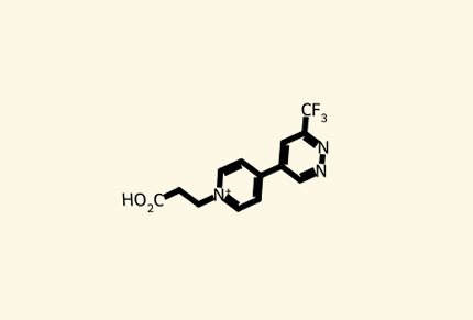 O=C(O)CC[n+]1ccc(-c2cnnc(C(F)(F)F)c2)cc1